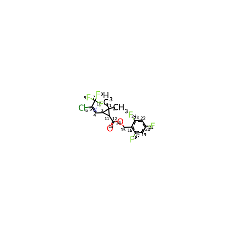 CC1(C)C(/C=C(/Cl)C(F)(F)F)C1C(=O)OCc1c(F)cc(F)cc1F